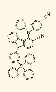 N#Cc1ccc2c(c1)c1ccccc1n2-c1c(C#N)ccc2c1c1ccccc1n2-c1cccc([Si](c2ccccc2)(c2ccccc2)c2ccccc2)c1